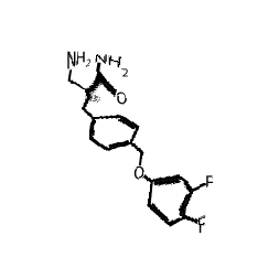 NC[C@H](Cc1ccc(COc2ccc(F)c(F)c2)cc1)C(N)=O